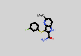 COc1ccc2[nH]c(C(N)=O)c(Sc3cccc(F)c3)c2n1